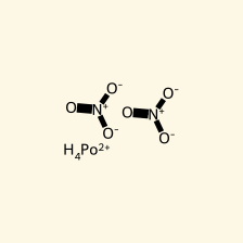 O=[N+]([O-])[O-].O=[N+]([O-])[O-].[PoH4+2]